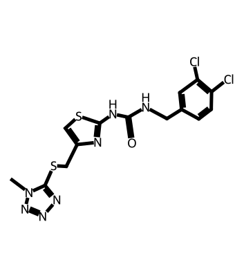 Cn1nnnc1SCc1csc(NC(=O)NCc2ccc(Cl)c(Cl)c2)n1